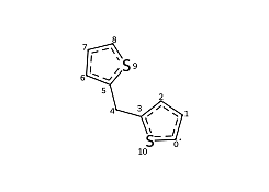 [c]1ccc(Cc2cccs2)s1